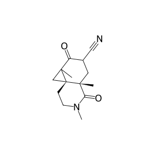 CN1CC[C@@]23CC2(C)C(=O)C(C#N)C[C@]3(C)C1=O